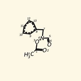 CC(=O)ON(C=O)Cc1ccccc1